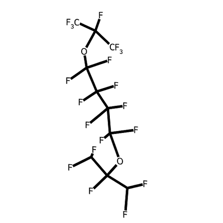 FC(F)C(F)(OC(F)(F)C(F)(F)C(F)(F)C(F)(F)OC(F)(C(F)(F)F)C(F)(F)F)C(F)F